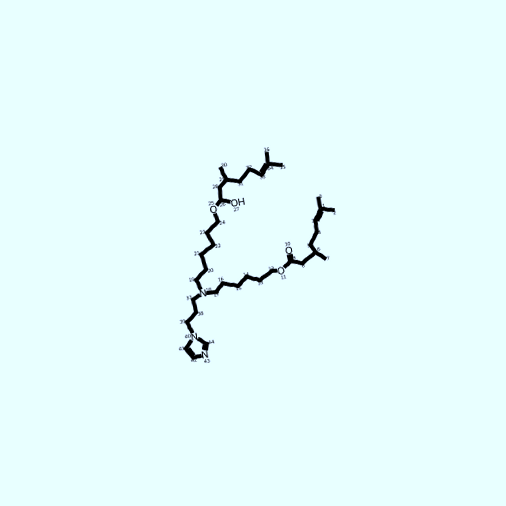 CC(C)=CCCC(C)CC(=O)OCCCCCCN(CCCCCCOC(O)CC(C)CCC=C(C)C)CCCn1ccnc1